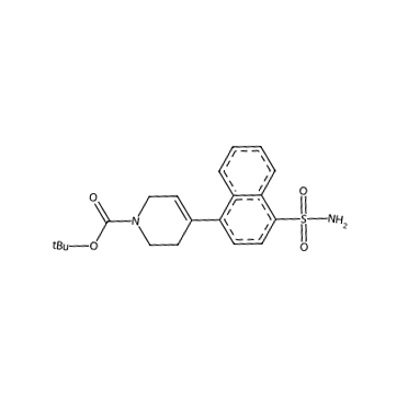 CC(C)(C)OC(=O)N1CC=C(c2ccc(S(N)(=O)=O)c3ccccc23)CC1